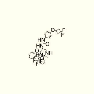 CC1(C2CCCC2)NCC(NC(=O)Nc2ccc(OC3CC(F)(F)C3)cc2)C(Oc2ccccc2C2(C(F)(F)F)CCO2)N1